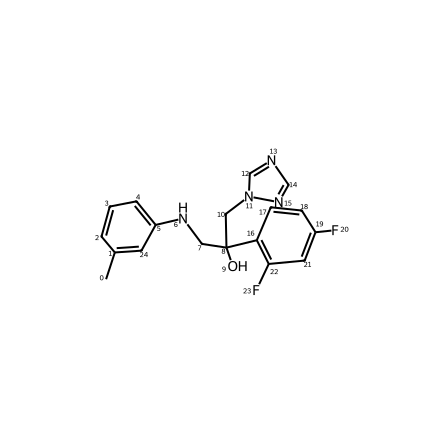 Cc1cccc(NCC(O)(Cn2cncn2)c2ccc(F)cc2F)c1